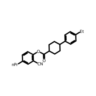 CCCc1ccc(OC(=O)C2CCC(c3ccc(CC)cc3)CC2)c(C#N)c1